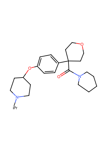 CC(C)N1CCC(Oc2ccc(C3(C(=O)N4CCCCC4)CCOCC3)cc2)CC1